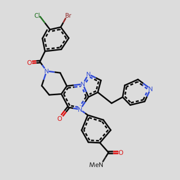 CNC(=O)c1ccc(-n2c(=O)c3c(n4ncc(Cc5ccncc5)c24)CN(C(=O)c2ccc(Br)c(Cl)c2)CC3)cc1